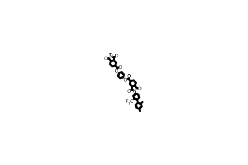 Cc1ccc(-c2ccc(N3C(=O)C4CCC(C(=O)Oc5ccc(OC(=O)C6CCC7C(=O)N(C)C(=O)C7C6)cc5)CC4C3=O)cc2C(F)(F)F)c(C)c1